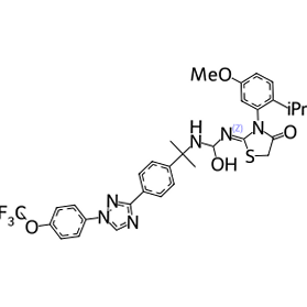 COc1ccc(C(C)C)c(N2C(=O)CS/C2=N\C(O)NC(C)(C)c2ccc(-c3ncn(-c4ccc(OC(F)(F)F)cc4)n3)cc2)c1